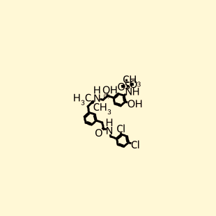 CC(C)(Cc1cccc(CC(=O)NCc2ccc(Cl)cc2Cl)c1)NC[C@@H](O)c1ccc(O)c(NS(C)(=O)=O)c1